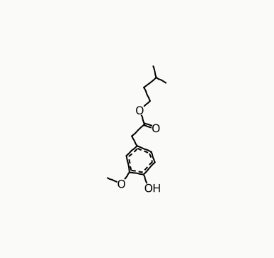 COc1cc(CC(=O)OCCC(C)C)ccc1O